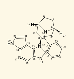 c1ccc(CN2[C@@H]3CC[C@H]2C[C@H](n2cnc4cnc5[nH]ccc5c42)C3)cc1